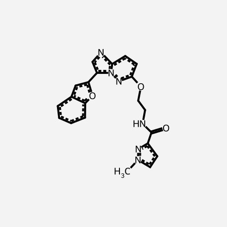 Cn1ccc(C(=O)NCCOc2ccc3ncc(-c4cc5ccccc5o4)n3n2)n1